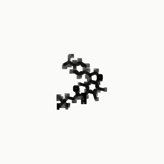 Cc1c(C)c2c(c(C)c1NC(=O)CCC(F)(F)F)C(c1ccc(C(C)C)cc1)CO2